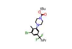 CCCC(F)(F)c1cc(Br)c(C)c(N2CCN(C(=O)OC(C)(C)C)CC2)c1